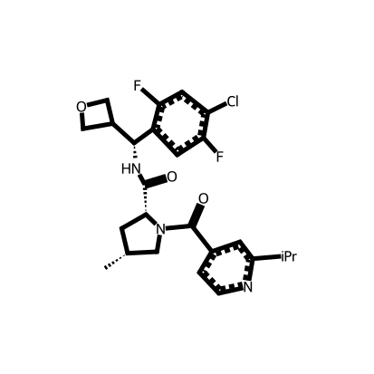 CC(C)c1cc(C(=O)N2C[C@H](C)C[C@@H]2C(=O)N[C@@H](c2cc(F)c(Cl)cc2F)C2COC2)ccn1